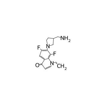 C=Cn1ccc(=O)c2cc(F)c(N3CCC(CN)C3)c(F)c21